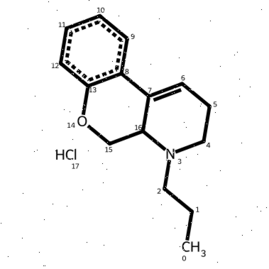 CCCN1CCC=C2c3ccccc3OCC21.Cl